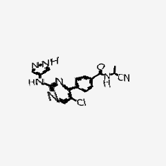 CC(C#N)NC(=O)c1ccc(-c2nc(Nc3cn[nH]c3)ncc2Cl)cc1